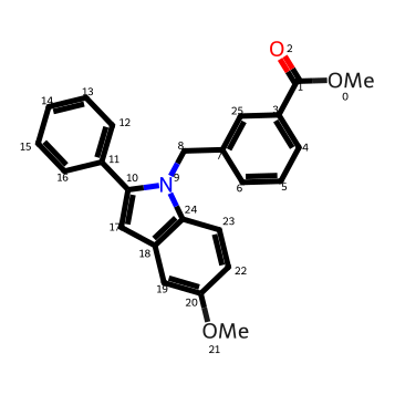 COC(=O)c1cccc(Cn2c(-c3ccccc3)cc3cc(OC)ccc32)c1